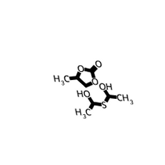 CC(O)SC(C)O.CC1COC(=O)O1